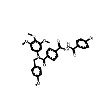 COc1ccc(CN(C(=O)c2ccc(C(=O)NNC(=O)c3ccc(Br)cc3)cc2)c2cc(OC)c(OC)c(OC)c2)cc1